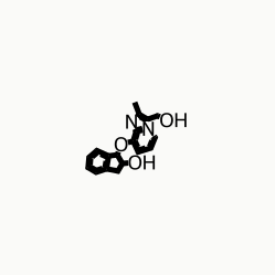 Cc1nc2c(OC3c4ccccc4CC3O)cccn2c1CO